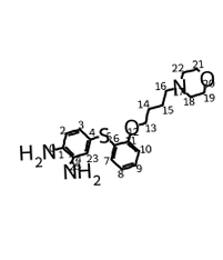 Nc1ccc(Sc2ccccc2OCCCCN2CCOCC2)cc1N